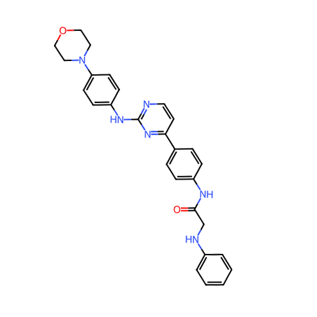 O=C(CNc1ccccc1)Nc1ccc(-c2ccnc(Nc3ccc(N4CCOCC4)cc3)n2)cc1